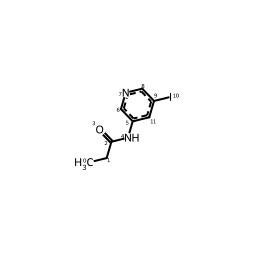 CCC(=O)Nc1cncc(I)c1